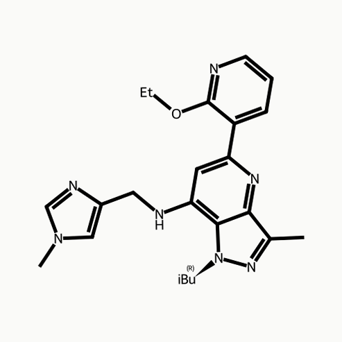 CCOc1ncccc1-c1cc(NCc2cn(C)cn2)c2c(n1)c(C)nn2[C@H](C)CC